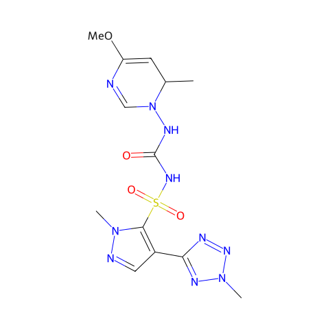 COC1=CC(C)N(NC(=O)NS(=O)(=O)c2c(-c3nnn(C)n3)cnn2C)C=N1